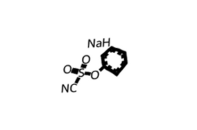 N#CS(=O)(=O)Oc1ccccc1.[NaH]